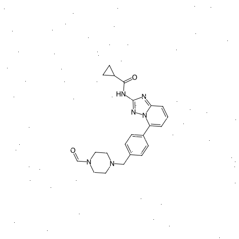 O=CN1CCN(Cc2ccc(-c3cccc4nc(NC(=O)C5CC5)nn34)cc2)CC1